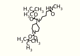 CNC(=O)CCCCN(C(=O)OC(C)(C)C)C1CCN(C(=O)OC(C)(C)C)CC1